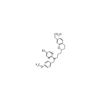 CCc1cnc(N(CCCC2CCc3ccc(CC(=O)O)cc3O2)Cc2ccc(OC(F)(F)F)cc2)nc1